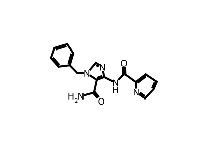 NC(=O)c1c(NC(=O)c2ccccn2)ncn1Cc1ccccc1